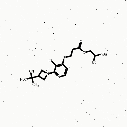 CCCCC(CC)COC(=O)CCSc1ccnc(N2CC(C(C)(C)C#N)C2)c1Cl